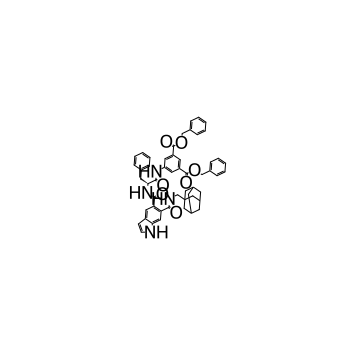 O=C(OCc1ccccc1)c1cc(NC(=O)[C@H](Cc2ccccc2)NC(=O)c2cc3cc[nH]c3cc2C(=O)NCC23CC4CC(CC(C4)C2)C3)cc(C(=O)OCc2ccccc2)c1